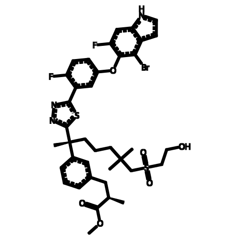 COC(=O)[C@H](C)Cc1cccc([C@@](C)(CCCC(C)(C)CS(=O)(=O)CCO)c2nnc(-c3cc(Oc4c(F)cc5[nH]ccc5c4Br)ccc3F)s2)c1